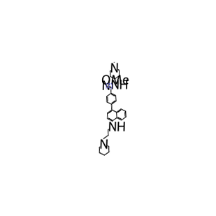 CO/N=C(\NC1CCN(C)CC1)c1ccc(-c2ccc(NCCCN3CCCCC3)c3ccccc23)cc1